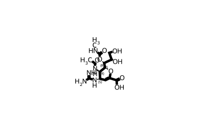 CNC(=O)O[C@H](C(O)CO)[C@@H]1OC(C(=O)O)=C[C@H](NC(=N)N)[C@H]1NC(C)=O